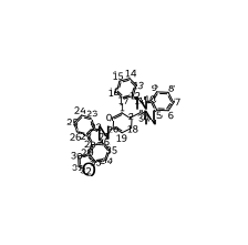 C1=CC(c2nc3ccccc3n2-c2ccccc2)CC=C1n1c2ccccc2c2c3ccoc3ccc21